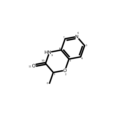 CC1Oc2ccncc2NC1=O